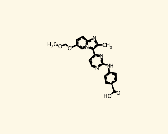 COCOc1ccc2nc(C)c(-c3ccnc(Nc4ccc(C(=O)O)cc4)n3)n2c1